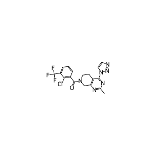 Cc1nc2c(c(-n3ccnn3)n1)CCN(C(=O)c1cccc(C(F)(F)F)c1Cl)C2